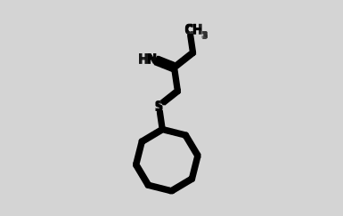 CCC(=N)CSC1CCCCCCC1